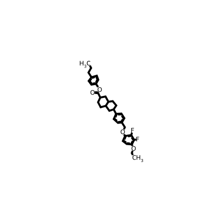 CCCc1ccc(OC(=O)C2CCC3CC(c4ccc(COc5ccc(OCC)c(F)c5F)cc4)CCC3C2)cc1